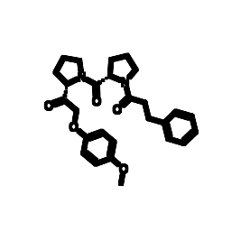 COc1ccc(OCC(=O)[C@@H]2CCCN2C(=O)[C@@H]2CCCN2C(=O)CCc2ccccc2)cc1